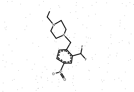 CCN1CCN(Cc2ccc([N+](=O)[O-])cc2C(F)F)CC1